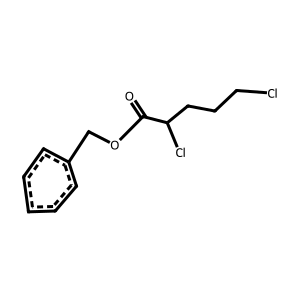 O=C(OCc1ccccc1)C(Cl)CCCCl